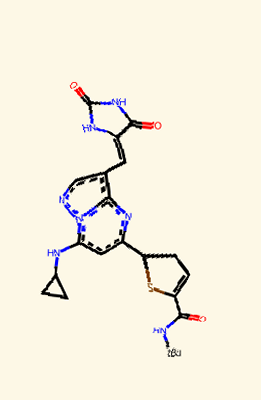 CC(C)(C)NC(=O)C1=CCC(c2cc(NC3CC3)n3ncc(/C=C4\NC(=O)NC4=O)c3n2)S1